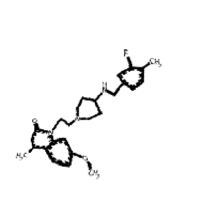 COc1ccc2c(C)cc(=O)n(CCN3CCC(NCc4ccc(C)c(F)c4)CC3)c2c1